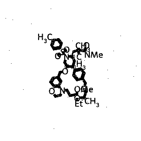 CCO[C@H](C)COCc1ccc([C@H]2C[C@H](CC(C)(C)C(=O)NC)N(S(=O)(=O)c3ccc(C)cc3)C[C@@H]2OCc2ccc3c(c2)N(CCCOC)CCO3)cc1